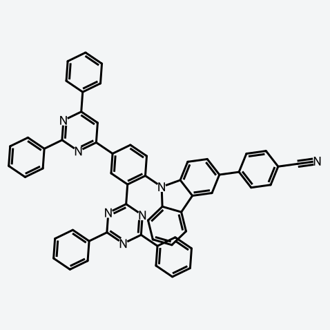 N#Cc1ccc(-c2ccc3c(c2)c2ccccc2n3-c2ccc(-c3cc(-c4ccccc4)nc(-c4ccccc4)n3)cc2-c2nc(-c3ccccc3)nc(-c3ccccc3)n2)cc1